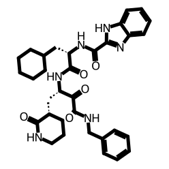 O=C(NCc1ccccc1)C(=O)[C@H](C[C@@H]1CCCNC1=O)NC(=O)[C@H](CC1CCCCC1)NC(=O)c1nc2ccccc2[nH]1